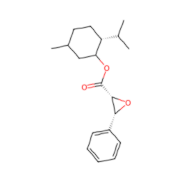 CC1CC[C@H](C(C)C)C(OC(=O)[C@@H]2O[C@@H]2c2ccccc2)C1